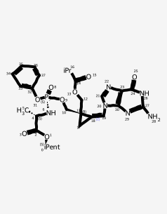 CCC[C@H](C)OC(=O)[C@H](C)N[P@](=O)(OC[C@]1(COC(=O)C(C)C)C/C1=C/n1cnc2c(=O)[nH]c(N)nc21)Oc1ccccc1